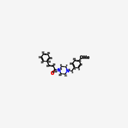 COc1ccc(CN2CCN(C(=O)C=Cc3ccccc3)CC2)cc1